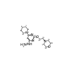 NNc1cc(N2CCCCC2)nc(OCCN2CCOCC2)n1